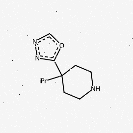 CC(C)C1(c2nnco2)CCNCC1